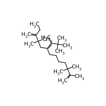 C=C(C)C(C)(C)CCCCC(CC(C)(C)C(=C)CC)=C(C)C(C)(C)C